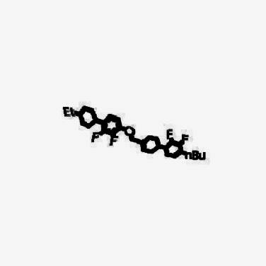 CCCCC1=CCC(C2CCC(COc3ccc(C4CCC(CC)CC4)c(F)c3F)CC2)C(F)=C1F